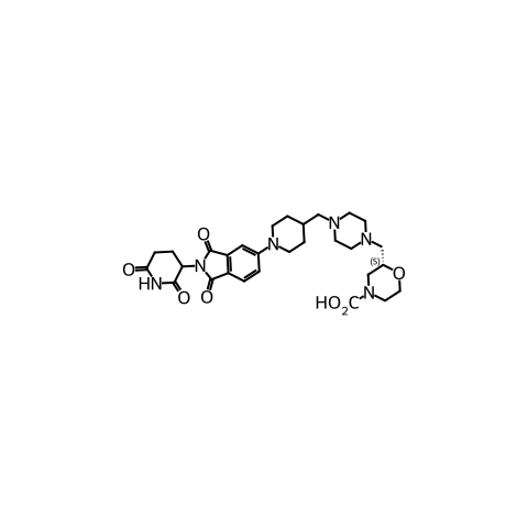 O=C1CCC(N2C(=O)c3ccc(N4CCC(CN5CCN(C[C@H]6CN(C(=O)O)CCO6)CC5)CC4)cc3C2=O)C(=O)N1